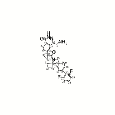 NCc1n[nH]c(=O)c2ccc(C3(C(=O)N(Cc4ccc(-c5c(F)cccc5F)cn4)C4CCC4)CC3)cc12